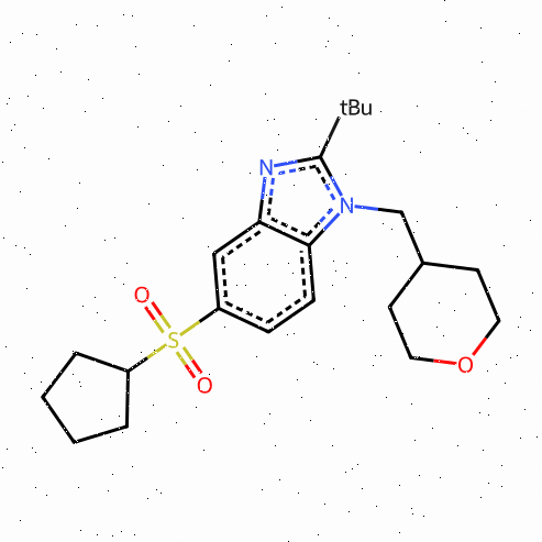 CC(C)(C)c1nc2cc(S(=O)(=O)C3CCCC3)ccc2n1CC1CCOCC1